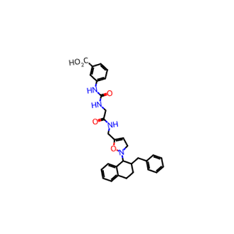 O=C(CNC(=O)Nc1cccc(C(=O)O)c1)NCC1=CCN(C2c3ccccc3CCC2Cc2ccccc2)O1